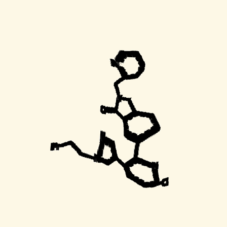 CC(C)CCn1cc(-c2ccc(Cl)nc2-c2ccc3c(c2)C(=O)N(Cc2ccccn2)C3)cn1